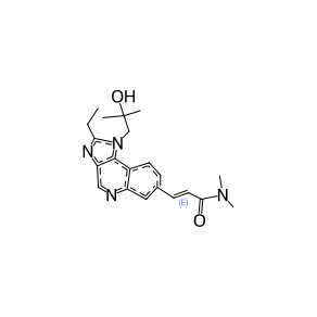 CCc1nc2cnc3cc(/C=C/C(=O)N(C)C)ccc3c2n1CC(C)(C)O